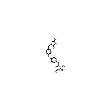 O=C1NC(=O)C(Cc2ccc(Sc3ccc(CC4SC(=O)NC4=O)cc3)cc2)S1